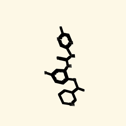 Cc1cnc(NC(=O)Nc2cc(F)ccc2OC(C)C2CCCNC2)cn1